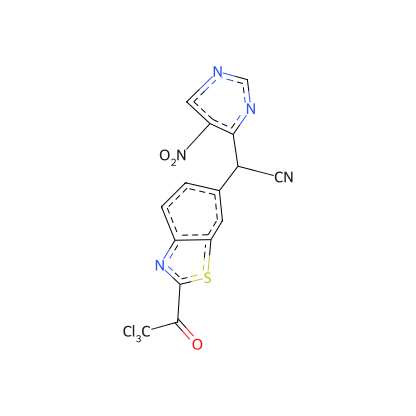 N#CC(c1ccc2nc(C(=O)C(Cl)(Cl)Cl)sc2c1)c1ncncc1[N+](=O)[O-]